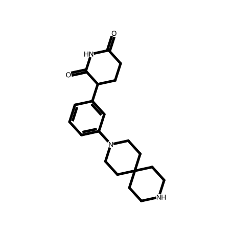 O=C1CCC(c2cccc(N3CCC4(CCNCC4)CC3)c2)C(=O)N1